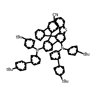 CC(C)(C)c1ccc(-c2cccc(N(c3ccc(C(C)(C)C)cc3)c3ccc4c(c3)C3(c5ccccc5-c5cc(C#N)ccc53)c3c-4c(N(c4ccc(C(C)(C)C)cc4)c4cccc(-c5ccc(C(C)(C)C)cc5)c4)cc4sc5ccccc5c34)c2)cc1